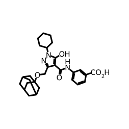 O=C(O)c1cccc(NC(=O)c2c(COC34CC5CC(CC(C5)C3)C4)nn(C3CCCCC3)c2O)c1